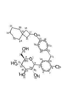 OC[C@H]1OC(c2ccc(Cl)c(Cc3ccc(OC4CC5(CCCCC5)C4)cc3)c2)[C@H](O)[C@@H](O)[C@@H]1O